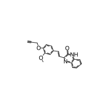 C#CCOc1ccc(/C=C/c2nc3ccccc3[nH]c2=O)cc1OC